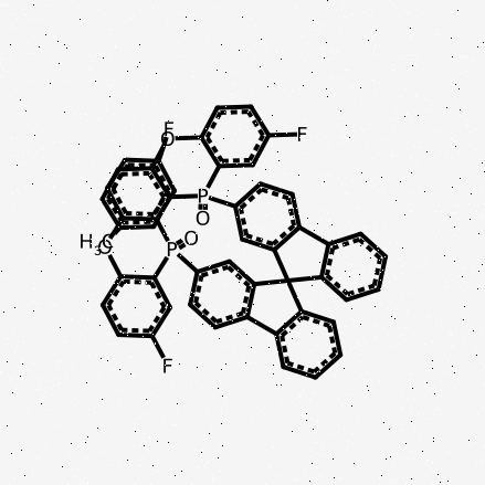 Cc1ccc2c(c1)P(=O)(c1ccc3c(c1)C1(c4ccccc4-3)c3ccccc3-c3ccc(P4(=O)c5cc(F)ccc5Oc5ccc(F)cc54)cc31)c1cc(F)ccc1O2